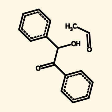 CC=O.O=C(c1ccccc1)C(O)c1ccccc1